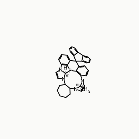 C[C@H]1N2C=CN1C1CCCCCC1N1C=CN3c4cccc5c4P(c4c2cccc4C52c4ccccc4-c4ccccc42)[C@H]31